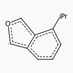 CC(C)c1cccc2[c]occ12